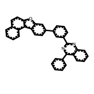 c1ccc(-c2nc(-c3cccc(-c4ccc5c(c4)oc4ccc6ccccc6c45)c3)nc3ccccc23)cc1